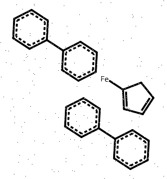 [Fe][C]1=CC=CC1.c1ccc(-c2ccccc2)cc1.c1ccc(-c2ccccc2)cc1